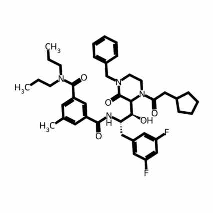 CCCN(CCC)C(=O)c1cc(C)cc(C(=O)N[C@@H](Cc2cc(F)cc(F)c2)[C@H](O)C2C(=O)N(Cc3ccccc3)CCN2C(=O)CC2CCCC2)c1